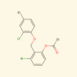 CCC(=O)Oc1cccc(Br)c1COc1ccc(CC)cc1Cl